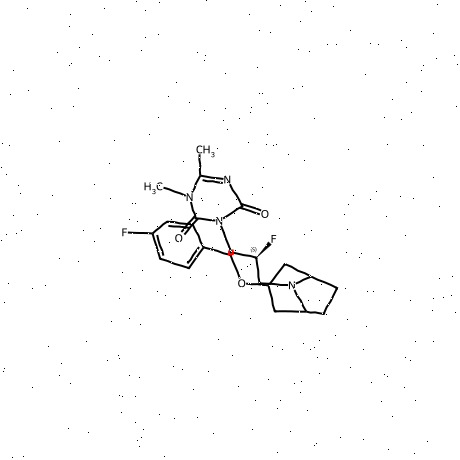 Cc1nc(=O)n(C[C@@H](F)CN2C3CCC2CC(OCc2ccc(F)cc2)C3)c(=O)n1C